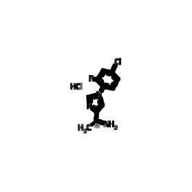 C[C@H](N)c1cn(-c2ccc(Cl)cc2F)cn1.Cl